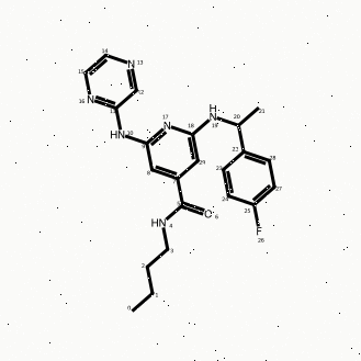 CCCCNC(=O)c1cc(Nc2cnccn2)nc(NC(C)c2ccc(F)cc2)c1